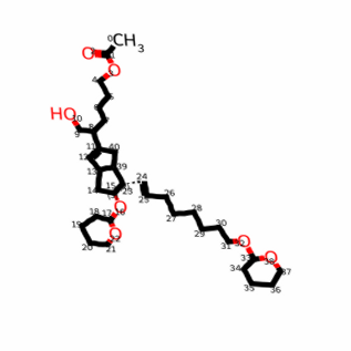 CC(=O)OCCCCC(CO)C1=CC2C[C@H](OC3CCCCO3)[C@@H](C=CCCCCCCOC3CCCCO3)C2C1